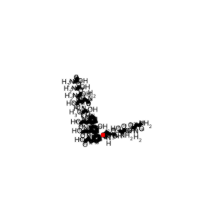 CC(C)[C@H](N)C(=O)O.C[C@@H](O)[C@H](N)C(=O)O.NC(=O)CC[C@H](N)C(=O)O.NC(=O)C[C@H](N)C(=O)O.NCC(=O)O.NCC(=O)O.NCC(=O)O.N[C@@H](Cc1ccc(O)cc1)C(=O)O.N[C@@H](Cc1ccc(O)cc1)C(=O)O.N[C@@H](Cc1ccccc1)C(=O)O.O=C(O)[C@@H]1CCCN1